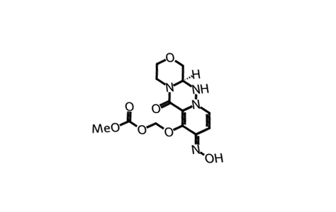 COC(=O)OCOc1c2n(cc/c1=N\O)N[C@@H]1COCCN1C2=O